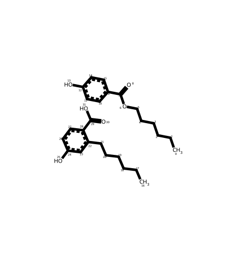 CCCCCCOC(=O)c1ccc(O)cc1.CCCCCCc1cc(O)ccc1C(=O)O